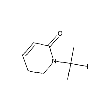 CC(C)(I)N1CCC=CC1=O